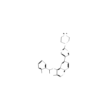 CC(Nc1c(Cl)cnc2ccc(-c3cnc(N4CCS(=O)(=O)CC4)nc3)cc12)c1ccccc1F